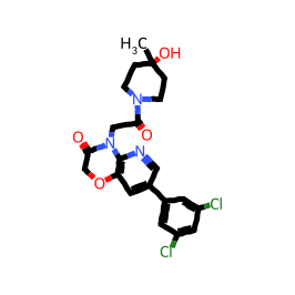 CC1(O)CCN(C(=O)CN2C(=O)COc3cc(-c4cc(Cl)cc(Cl)c4)cnc32)CC1